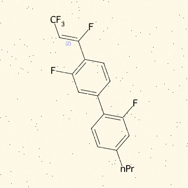 CCCc1ccc(-c2ccc(/C(F)=C/C(F)(F)F)c(F)c2)c(F)c1